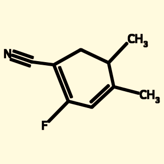 CC1=CC(F)=C(C#N)CC1C